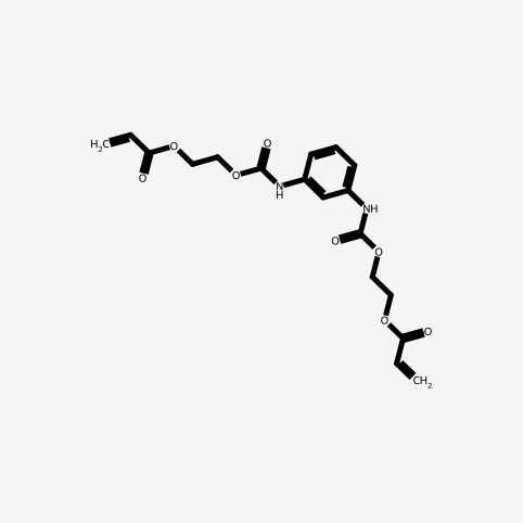 C=CC(=O)OCCOC(=O)Nc1cccc(NC(=O)OCCOC(=O)C=C)c1